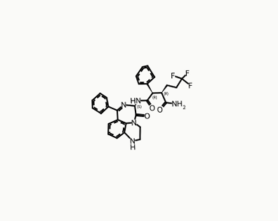 NC(=O)[C@H](CCC(F)(F)F)[C@@H](C(=O)N[C@H]1N=C(c2ccccc2)c2cccc3c2N(CCN3)C1=O)c1ccccc1